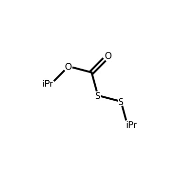 [CH2]C(C)OC(=O)SSC(C)C